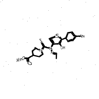 CC=NN(C(=S)N1CCC(C(=O)OC)CC1)c1csc(-c2ccc(Br)cc2)c1O